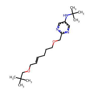 CC(C)(C)COC/C=C/CCCOCc1ncc(NC(C)(C)C)cn1